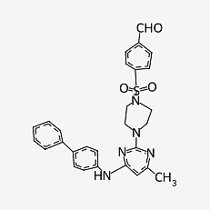 Cc1cc(Nc2ccc(-c3ccccc3)cc2)nc(N2CCN(S(=O)(=O)c3ccc(C=O)cc3)CC2)n1